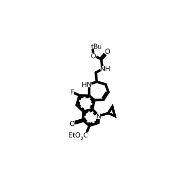 CCOC(=O)c1cn(C2CC2)c2c3c(c(F)cc2c1=O)NC(CNC(=O)OC(C)(C)C)CC=C3